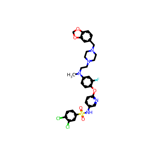 CN(CCN1CCN(Cc2ccc3c(c2)OCO3)CC1)c1ccc(Oc2ccc(NS(=O)(=O)c3ccc(Cl)c(Cl)c3)cn2)c(F)c1